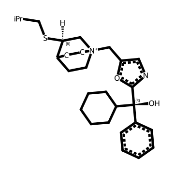 CC(C)CS[C@H]1C[N+]2(Cc3cnc([C@](O)(c4ccccc4)C4CCCCC4)o3)CCC1CC2